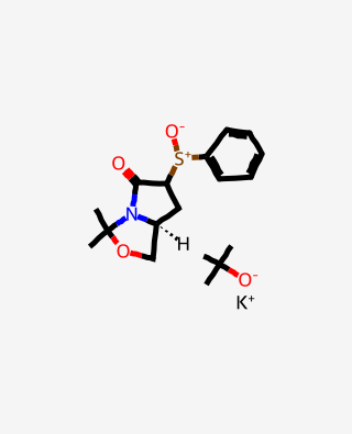 CC(C)(C)[O-].CC1(C)OC[C@@H]2CC([S+]([O-])c3ccccc3)C(=O)N21.[K+]